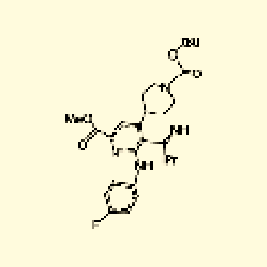 COC(=O)c1cc(C2CCN(C(=O)OC(C)(C)C)CC2)c(C(=N)C(C)C)c(Nc2ccc(F)cc2)n1